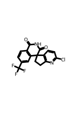 O=C1NC(=O)C2(CCc3nc(Cl)ccc32)c2cc(C(F)(F)F)ccc21